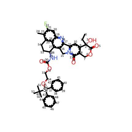 CC[C@@]1(O)C(=O)OCc2c1cc1n(c2=O)Cc2c-1nc1cc(F)c(C)c3c1c2[C@@H](NC(=O)OCCO[Si](c1ccccc1)(c1ccccc1)C(C)(C)C)CC3